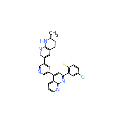 C=C1CCc2cc(-c3cncc(-c4cc(-c5cc(Cl)ccc5F)nc5ncccc45)c3)cnc2N1